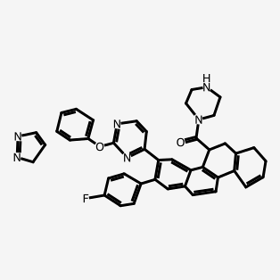 C1=CN=NC1.O=C(C1CC2=C(C=CCC2)c2ccc3cc(-c4ccc(F)cc4)c(-c4ccnc(Oc5ccccc5)n4)cc3c21)N1CCNCC1